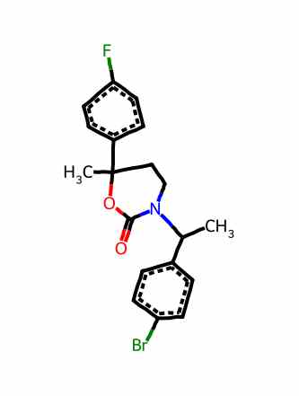 CC(c1ccc(Br)cc1)N1CCC(C)(c2ccc(F)cc2)OC1=O